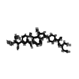 CN(C)C(=O)c1ccc(Nc2ncnc3c2c(F)cn3C2CCN(C(=O)OC(CF)CF)CC2)c(F)c1